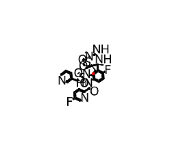 CN1C(=N)N[C@](C)(c2cc(NC(=O)c3ccc(F)cn3)ccc2F)[C@@]2(CCN(S(=O)(=O)Cc3cccnc3)C2)S1(=O)=O